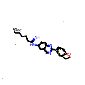 CCCCCCCCCCCCCCCC(=N)Nc1ccc2nc(-c3ccc4c(c3)CCO4)ncc2c1